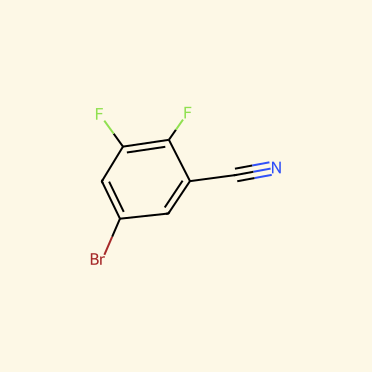 N#Cc1cc(Br)cc(F)c1F